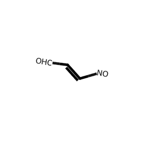 O=CC=CN=O